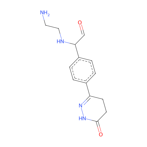 NCCNC(C=O)c1ccc(C2=NNC(=O)CC2)cc1